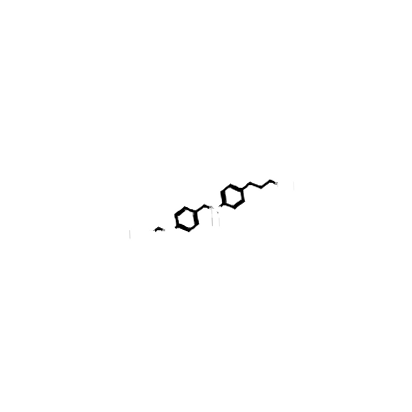 CCCCc1ccc(NCc2ccc(OCC)cc2)cc1